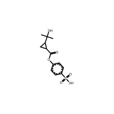 CC(C)(O)C1CC1C(=O)Oc1ccc(S(=O)(=O)O)cc1